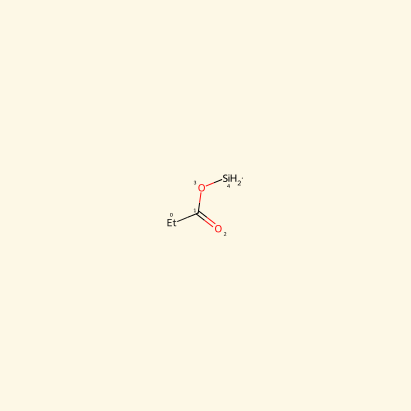 CCC(=O)O[SiH2]